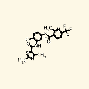 Cc1nc(C)c(C(=O)Nc2cc(NC(=O)c3ccc(C(F)(F)F)nc3C)ccc2Cl)s1